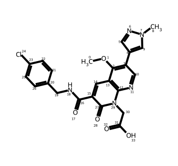 COc1c(-c2cnn(C)c2)cnc2c1cc(C(=O)NCc1ccc(Cl)cc1)c(=O)n2CC(=O)O